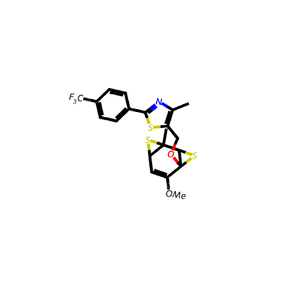 COC1=CC2SC2(C)C2SC12OCc1sc(-c2ccc(C(F)(F)F)cc2)nc1C